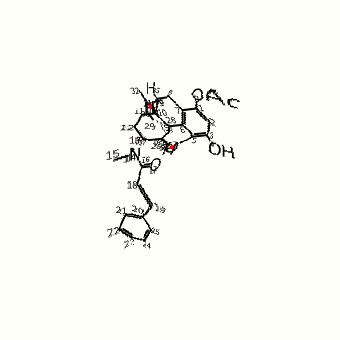 CC(=O)Oc1cc(O)c2c3c1C[C@@H]1[C@@H]4CC[C@@H](N(C)C(=O)C=Cc5ccccc5)[C@H](O2)[C@]34CCN1C